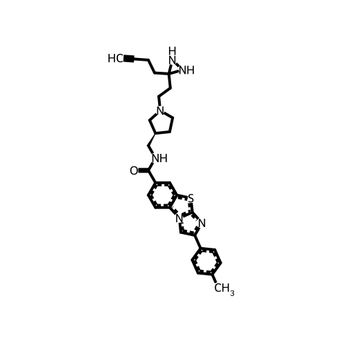 C#CCCC1(CCN2CC[C@@H](CNC(=O)c3ccc4c(c3)sc3nc(-c5ccc(C)cc5)cn34)C2)NN1